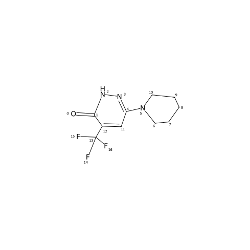 O=c1[nH]nc(N2CCCCC2)cc1C(F)(F)F